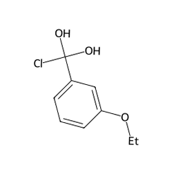 CCOc1cccc(C(O)(O)Cl)c1